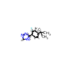 CC(C)(C)c1ccc(C2=NCN=N2)c(F)c1